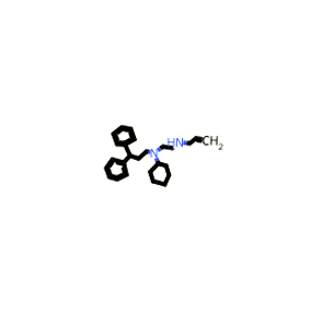 C=CCNCCN(CCC(c1ccccc1)c1ccccc1)C1CCCCC1